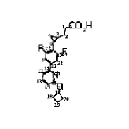 O=C(O)CCC1CC1c1c(F)cc(-c2cccc(OC3CCC3)n2)cc1F